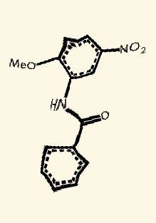 COc1ccc([N+](=O)[O-])cc1NC(=O)c1ccccc1